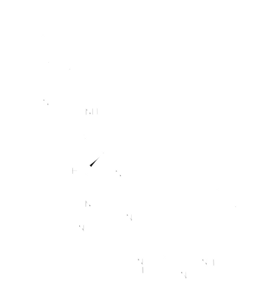 Cc1cnc(NC(=O)[C@]2(C)CCCN2c2nc(Nc3cc(C4CC4)[nH]n3)c3cccn3n2)s1